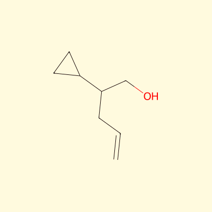 C=CCC(CO)C1CC1